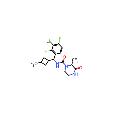 O=C1NCCN(C(=O)N[C@H](c2ccc(F)c(Cl)c2F)C2CC(C(F)(F)F)C2)C1C(F)(F)F